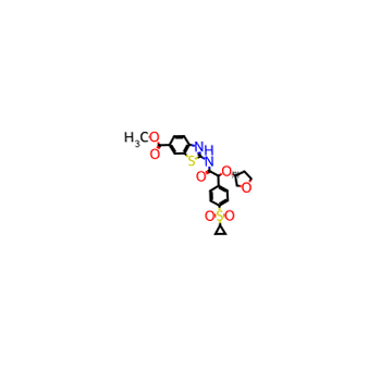 COC(=O)c1ccc2nc(NC(=O)C(O[C@@H]3CCOC3)c3ccc(S(=O)(=O)C4CC4)cc3)sc2c1